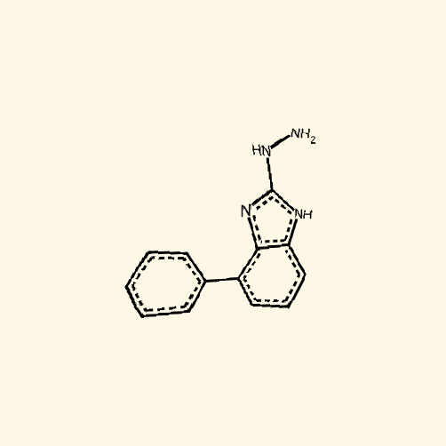 NNc1nc2c(-c3ccccc3)cccc2[nH]1